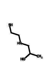 CC(O)[CH]NCCS